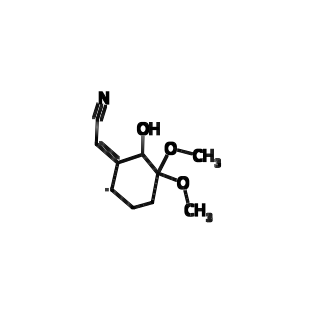 COC1(OC)CC[CH]C(=CC#N)C1O